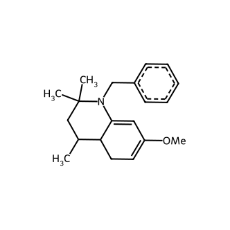 COC1=CCC2C(=C1)N(Cc1ccccc1)C(C)(C)CC2C